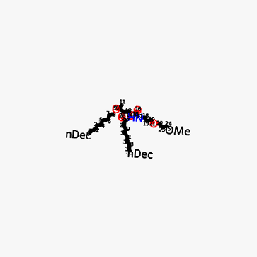 CCCCCCCCCCCCCCCCCCOC(C)C(COC(=O)NCCCOCCCOC)OCCCCCCCCCCCCCCCCCC